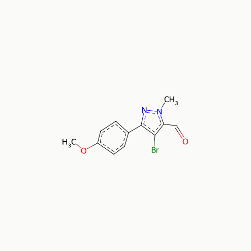 COc1ccc(-c2nn(C)c(C=O)c2Br)cc1